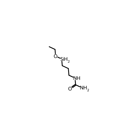 CCO[SiH2]CCCNC(N)=O